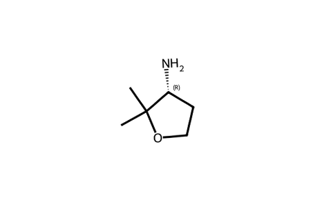 CC1(C)OCC[C@H]1N